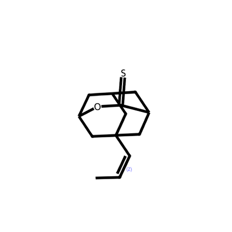 C/C=C\C12CC3CC(C1)OC(=S)C(C3)C2